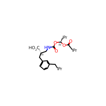 CC(C)Cc1cccc(C[C@@H](CNC(=O)O[C@H](OC(=O)C(C)C)C(C)C)C(=O)O)c1